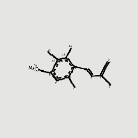 [CH]=C(C)/C=C/c1c(C)cc(OC)c(C)c1C